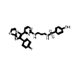 O=S(=O)(NCCCNc1nccc(-c2c(-c3ccc(F)cc3)nc3occn23)n1)c1ccc(O)cc1